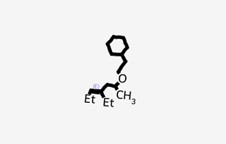 CC/C=C(\CC)CC(C)OCCC1CCCCC1